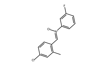 Cc1cc(Cl)ccc1C=[N+]([O-])c1cccc(F)c1